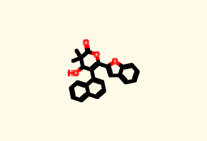 CC1(C)C(=O)OC(c2cc3ccccc3o2)=C(c2cccc3ccccc23)C1O